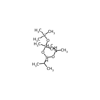 CC(C)[SiH](O[SiH](C)C)O[Si](C)(C)O[Si](C)(C)C